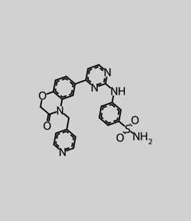 NS(=O)(=O)c1cccc(Nc2nccc(-c3ccc4c(c3)N(Cc3ccncc3)C(=O)CO4)n2)c1